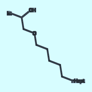 [CH2]CC(O)COCCCCCCCCCCCC